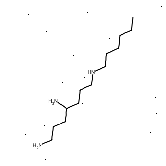 CCCCCCNCCCC(N)CCCN